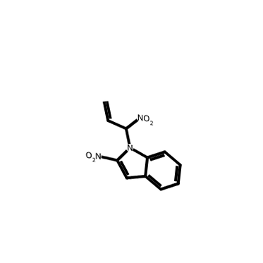 C=CC(n1c([N+](=O)[O-])cc2ccccc21)[N+](=O)[O-]